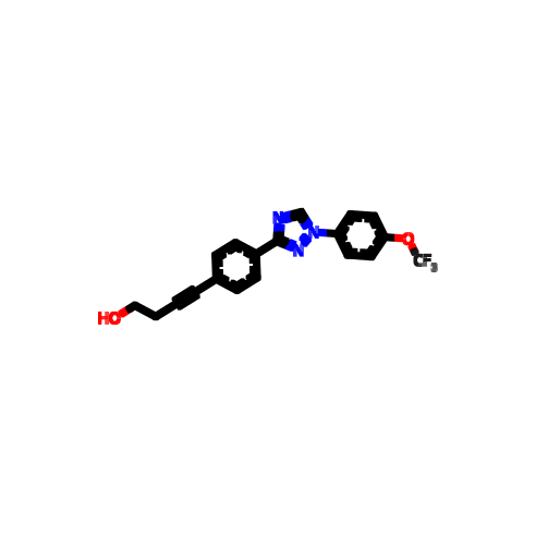 OCCC#Cc1ccc(-c2ncn(-c3ccc(OC(F)(F)F)cc3)n2)cc1